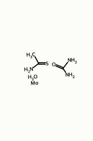 CC(N)=S.NC(N)=O.O.[Mo]